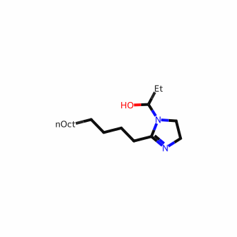 CCCCCCCCCCCCC1=NCCN1C(O)CC